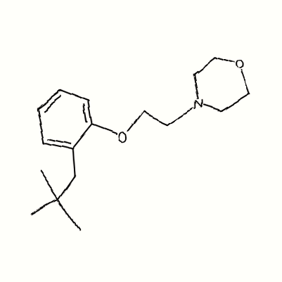 CC(C)(C)Cc1ccccc1OCCN1CCOCC1